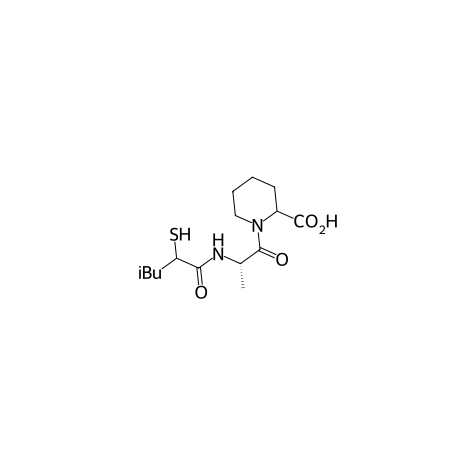 CCC(C)C(S)C(=O)N[C@@H](C)C(=O)N1CCCCC1C(=O)O